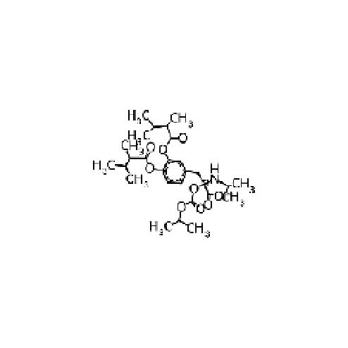 CC(C)N[C@@](Cc1ccc(OC(=O)C(C)C(C)C)c(OC(=O)C(C)C(C)C)c1)(OC(=O)OC(C)C)C(=O)O